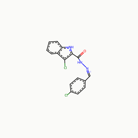 O=C(N/N=C\c1ccc(Cl)cc1)c1[nH]c2ccccc2c1Cl